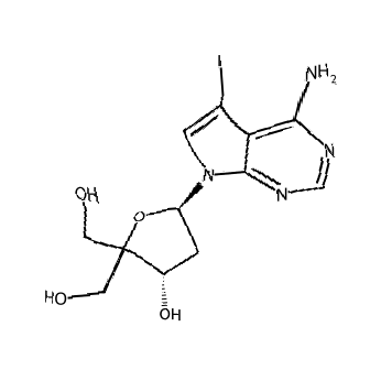 Nc1ncnc2c1c(I)cn2[C@H]1C[C@H](O)C(CO)(CO)O1